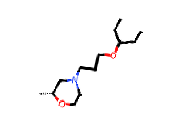 CCC(CC)OCCCN1CCO[C@H](C)C1